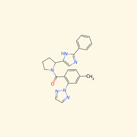 Cc1ccc(C(=O)N2CCCC2c2cnc(-c3ccccc3)[nH]2)c(-n2nccn2)c1